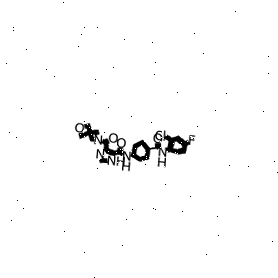 O=C(N[C@H]1CC[C@H](C(=O)Nc2ccc(F)cc2Cl)CC1)c1[nH]cnc1C(=O)N1CC2(COC2)C1